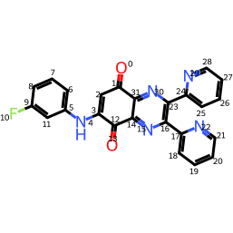 O=C1C=C(Nc2cccc(F)c2)C(=O)c2nc(-c3ccccn3)c(-c3ccccn3)nc21